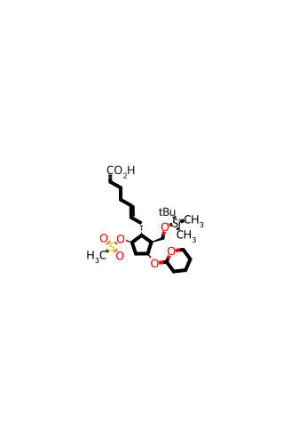 CC(C)(C)[Si](C)(C)OC[C@@H]1[C@@H](C/C=C/CCCC(=O)O)[C@@H](OS(C)(=O)=O)C[C@H]1OC1CCCCO1